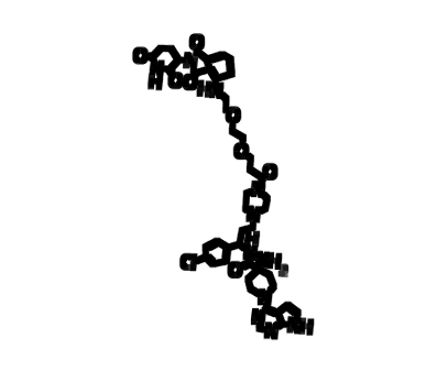 NC1(C(=O)NC(CCN2CCN(C(=O)CCOCCOCCNc3cccc4c3C(=O)N(C3CCC(=O)NC3=O)C4=O)CC2)c2ccc(Cl)cc2)CCN(c2ncnc3[nH]ccc23)CC1